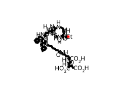 CCC(=O)NC1(CN)CNCCNCC(CN)(NC(=O)CCCC(=O)NC(Cc2ccccc2)C(=O)NC(Cc2ccccc2)C(=O)NCCCCCCCC(=O)NCCCCC(NC(=O)NC(CCC(=O)O)C(=O)O)C(=O)O)CNCCNC1